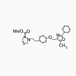 COC(=O)[C@@H]1CSCN1CCc1ccc(OCc2nc(-c3ccccc3)oc2C)cc1